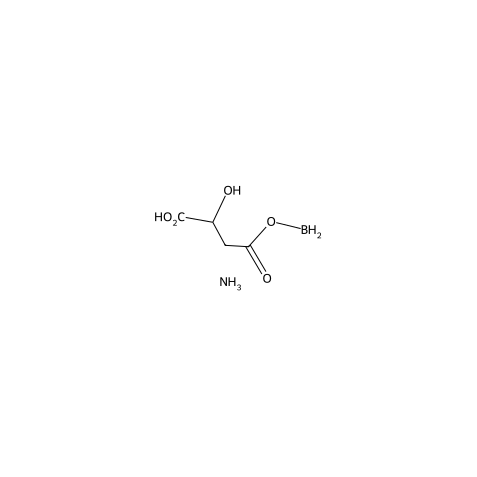 BOC(=O)CC(O)C(=O)O.N